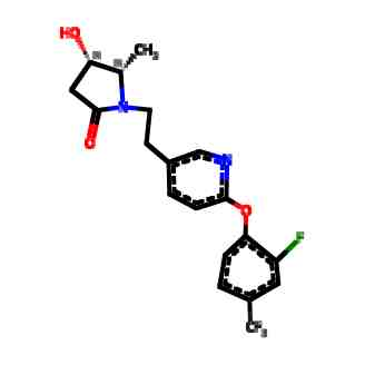 C[C@H]1[C@@H](O)CC(=O)N1CCc1ccc(Oc2ccc(C(F)(F)F)cc2F)nc1